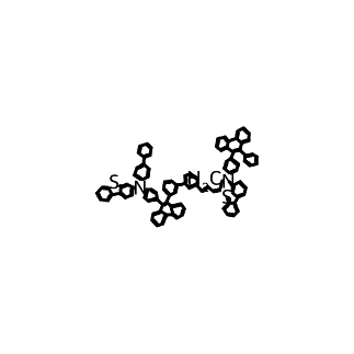 C=C(/C=C\C=C\c1cccc(-c2cccc(-c3c(-c4ccc(N(c5ccc(-c6ccccc6)cc5)c5ccc6c(c5)sc5ccccc56)cc4)c4ccccc4c4ccccc34)c2)c1)N(c1ccc(-c2c(-c3ccccc3)c3ccccc3c3ccccc23)cc1)c1cccc2c1sc1ccccc12